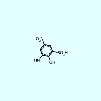 [NH]c1cc([N+](=O)[O-])cc(S(=O)(=O)O)c1O